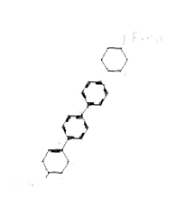 CCCCCCCCC1CC=C(c2ccc(-c3ccc([C@H]4CC[C@H](CCCCC)CC4)cc3)cc2)CC1